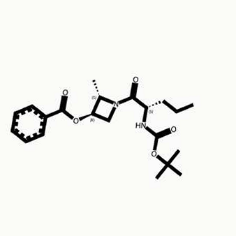 CCC[C@H](NC(=O)OC(C)(C)C)C(=O)N1C[C@@H](OC(=O)c2ccccc2)[C@@H]1C